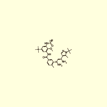 COc1c(NC(=O)c2ccc(C)c(N(N)/C=C(\N)c3cnn(C(C)(C)C)c3C)c2)cc(C(C)(C)C)cc1N[SH](=O)=O